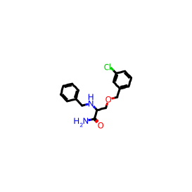 NC(=O)C(COCc1cccc(Cl)c1)NCc1ccccc1